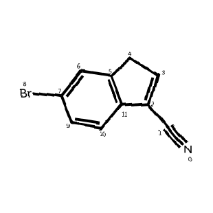 N#CC1=CCc2cc(Br)ccc21